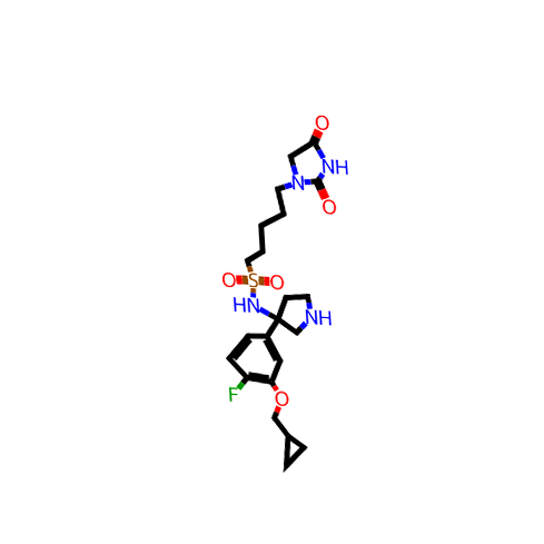 O=C1CN(CCCCCS(=O)(=O)NC2(c3ccc(F)c(OCC4CC4)c3)CCNC2)C(=O)N1